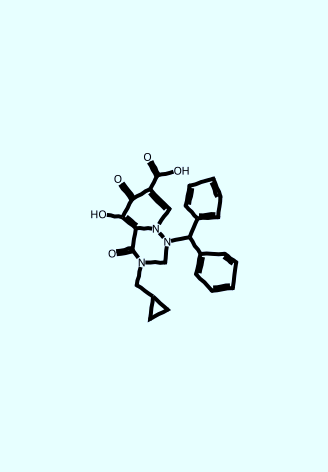 O=C(O)c1cn2c(c(O)c1=O)C(=O)N(CC1CC1)CN2C(c1ccccc1)c1ccccc1